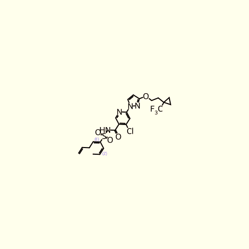 C=CC/C=C(\C=C/C)S(=O)(=O)NC(=O)c1cnc(-n2ccc(OCCC3(C(F)(F)F)CC3)n2)cc1Cl